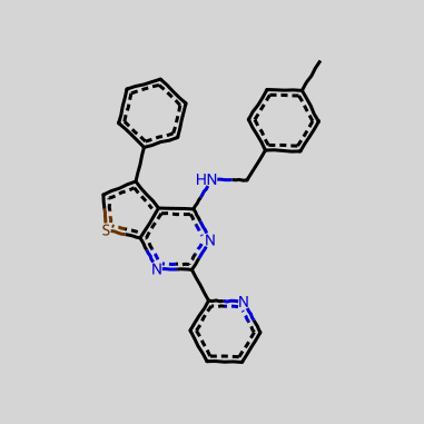 Cc1ccc(CNc2nc(-c3ccccn3)nc3scc(-c4ccccc4)c23)cc1